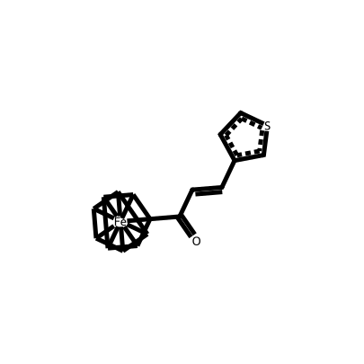 O=C(C=Cc1ccsc1)[C]12[CH]3[CH]4[CH]5[CH]1[Fe]45321678[CH]2[CH]1[CH]6[CH]7[CH]28